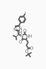 CC(C)[C@@H](c1ncc(-c2ccc(I)cc2)[nH]1)N1C(=O)NC(CCC(=O)OC(C)(C)C)C1=O